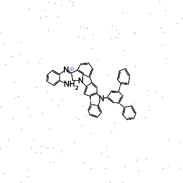 Nc1ccccc1/N=C1\Cn2c3cc4c5ccccc5n(-c5cc(-c6ccccc6)cc(-c6ccccc6)c5)c4cc3c3cccc1c32